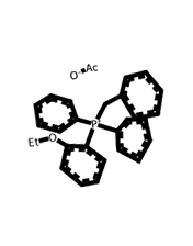 CC(=O)[O-].CCOc1ccccc1[P+](Cc1ccccc1)(c1ccccc1)c1ccccc1